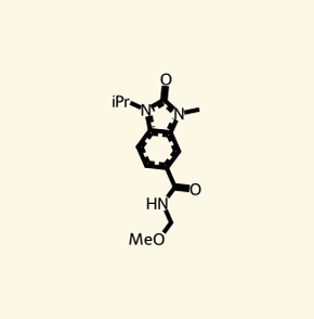 COCNC(=O)c1ccc2c(c1)n(C)c(=O)n2C(C)C